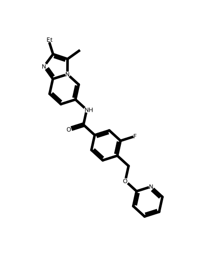 CCc1nc2ccc(NC(=O)c3ccc(COc4ccccn4)c(F)c3)cn2c1C